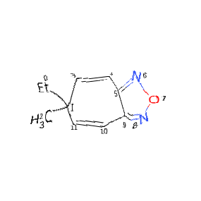 CCC1(C)C=Cc2nonc2C=C1